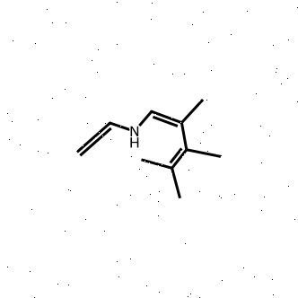 C=CNC=C(C)C(C)=C(C)C